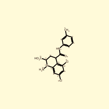 Cc1cccc(NC(=O)C2CC(C(=O)O)N(N)c3cc(Cl)cc(Cl)c32)c1